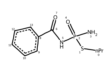 CCCSP(N)(=O)NC(=O)c1ccccc1